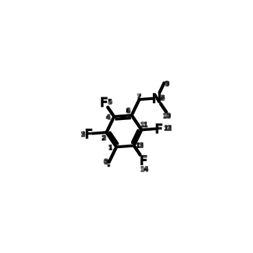 [CH2]c1c(F)c(F)c(CN(C)C)c(F)c1F